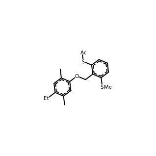 CCc1cc(C)c(OCc2c(SC)cccc2SC(C)=O)cc1C